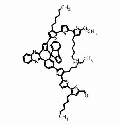 CCCCCCc1cc(C=O)sc1-c1ccc(-c2sc(-c3ccc4c(c3)C3(c5ccccc5-c5ccccc53)c3cc(-c5cc(CCCCCC)c(-c6ccc(-c7sc(OC)cc7CCCCCC)s6)s5)ccc3-c3nc5ccccc5nc3-4)cc2CCCCCC)s1